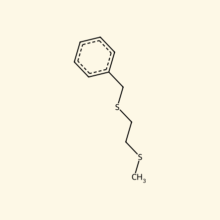 CSCCSCc1ccccc1